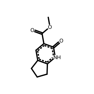 COC(=O)c1cc2c([nH]c1=O)CCC2